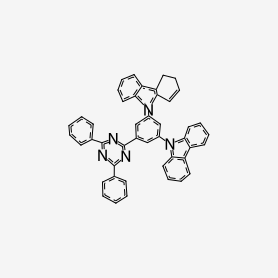 C1=Cc2c(c3ccccc3n2-c2cc(-c3nc(-c4ccccc4)nc(-c4ccccc4)n3)cc(-n3c4ccccc4c4ccccc43)c2)CC1